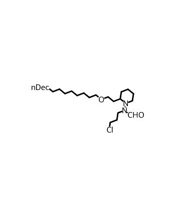 CCCCCCCCCCCCCCCCCCOCCC1CCCCN1N(C=O)CCCCl